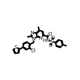 Cc1ccc(S(=O)(=O)NC(=O)c2cc(C)c3nc(C)n(Cc4ccc(-c5cccs5)cc4Cl)c3n2)cc1